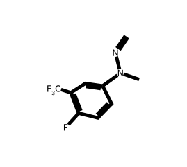 C=NN(C)c1ccc(F)c(C(F)(F)F)c1